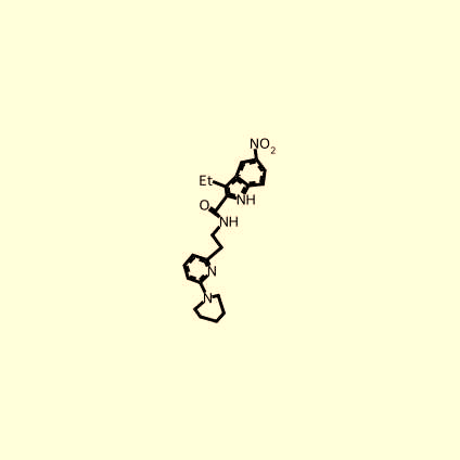 CCc1c(C(=O)NCCc2cccc(N3CCCCC3)n2)[nH]c2ccc([N+](=O)[O-])cc12